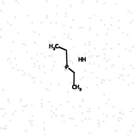 CC[P]CC.[HH]